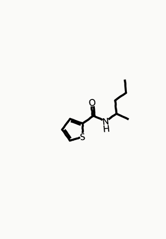 CCCC(C)NC(=O)c1cccs1